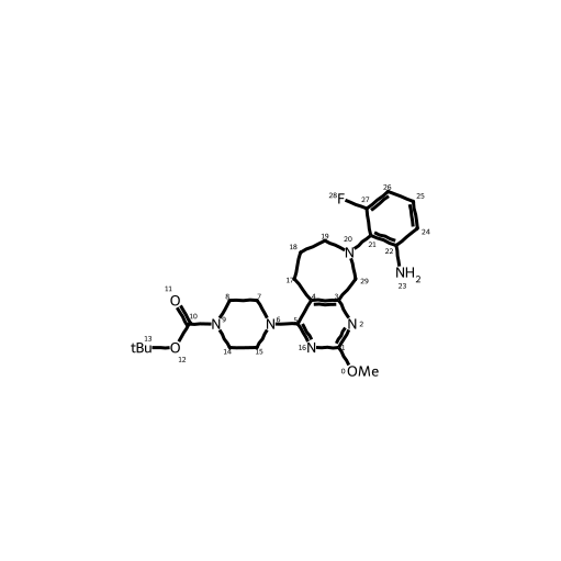 COc1nc2c(c(N3CCN(C(=O)OC(C)(C)C)CC3)n1)CCCN(c1c(N)cccc1F)C2